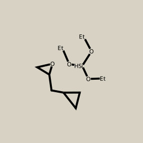 C1CC1CC1CO1.CCO[SiH](OCC)OCC